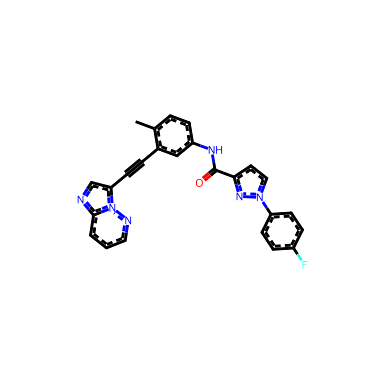 Cc1ccc(NC(=O)c2ccn(-c3ccc(F)cc3)n2)cc1C#Cc1cnc2cccnn12